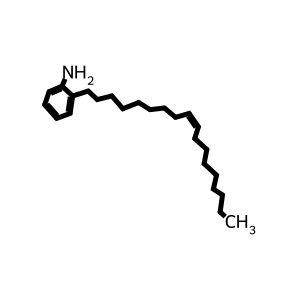 CCCCCCCC/C=C\CCCCCCCCc1ccccc1N